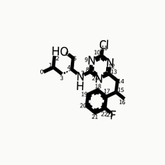 CC(C)C[C@H](CO)Nc1nc(Cl)nc(CC(C)c2ccccc2F)n1